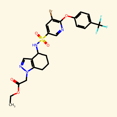 CCOC(=O)Cn1ncc2c1CCCC2NS(=O)(=O)c1cnc(Oc2ccc(C(F)(F)F)cc2)c(Br)c1